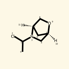 CC(Cl)N1C[C@H]2C[C@@H]1CO2